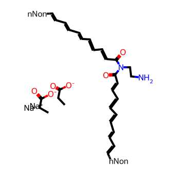 CCC(=O)[O-].CCC(=O)[O-].CCCCCCCCCC=CC=CC=CC=CC=CC(=O)N(CCN)C(=O)C=CC=CC=CC=CC=CCCCCCCCCC.[Na+].[Na+]